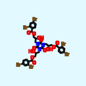 O=C(OCC(O)Cn1c(=O)n(CC(O)COC(=O)c2ccc(Br)cc2Br)c(=O)n(CC(O)COC(=O)c2ccc(Br)cc2Br)c1=O)c1ccc(Br)cc1Br